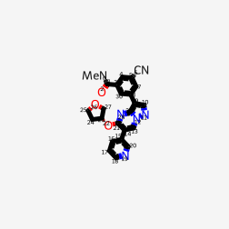 CNC(=O)c1cc(C#N)cc(-c2cnn3cc(-c4cccnc4)c(O[C@H]4CCOC4)nc23)c1